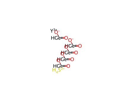 [O]=[GeH][O-].[O]=[GeH][O-].[O]=[GeH][O-].[O]=[GeH][O-].[O]=[GeH][O-].[SH4+2].[Y+3]